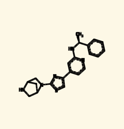 C[C@H](Nc1cc(-c2csc(N3CC4CC3CN4)n2)ccn1)c1ccccc1